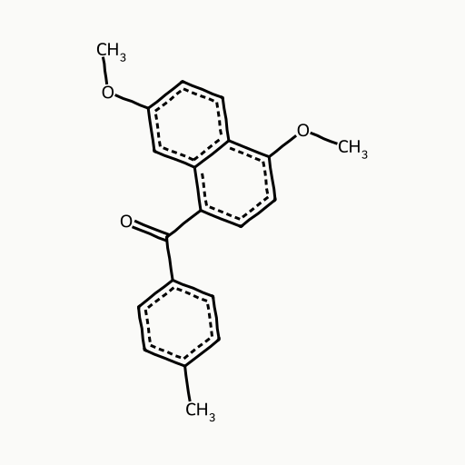 COc1ccc2c(OC)ccc(C(=O)c3ccc(C)cc3)c2c1